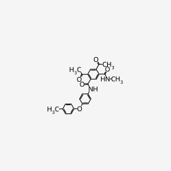 CNC(=O)c1cc(C(=O)Nc2ccc(Oc3ccc(C)cc3)cc2)c(C(C)=O)cc1C(C)=O